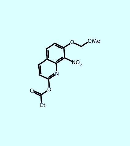 CCC(=O)Oc1ccc2ccc(OCOC)c([N+](=O)[O-])c2n1